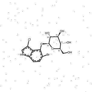 OC[C@H]1O[C@@H](Oc2c(Br)ccc3[nH]cc(Cl)c23)[C@H](O)[C@@H](O)[C@@H]1O